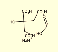 O=C(O)CC(O)(CC(=O)O)C(=O)O.O=PO.[NaH]